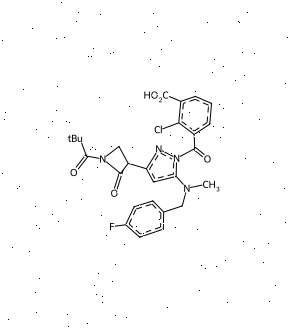 CN(Cc1ccc(F)cc1)c1cc(C2CN(C(=O)C(C)(C)C)C2=O)nn1C(=O)c1cccc(C(=O)O)c1Cl